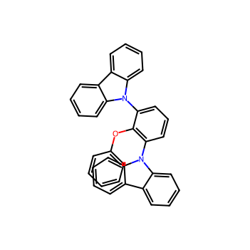 c1ccc(Oc2c(-n3c4ccccc4c4ccccc43)cccc2-n2c3ccccc3c3ccccc32)cc1